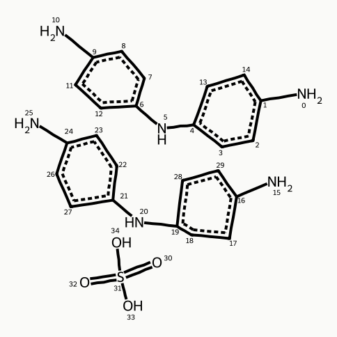 Nc1ccc(Nc2ccc(N)cc2)cc1.Nc1ccc(Nc2ccc(N)cc2)cc1.O=S(=O)(O)O